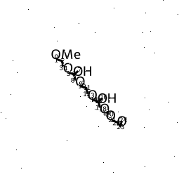 COCCCOCC(O)COCCCOCC(O)COCOCC1CO1